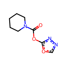 O=C(Oc1nnco1)N1CCCCC1